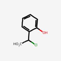 O=C(O)C(Cl)c1ccccc1O